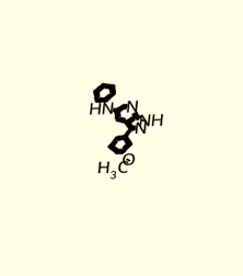 COc1cccc(-c2n[nH]c3ncc(Nc4ccccc4)cc23)c1